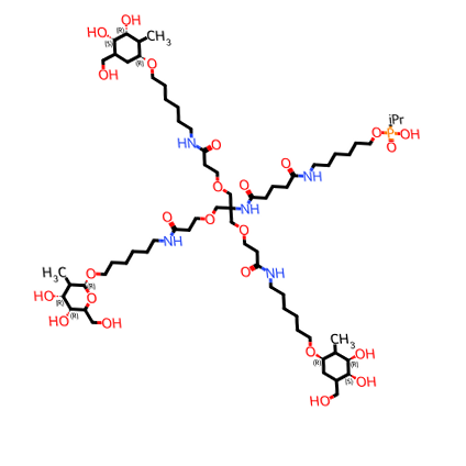 CC1[C@H](OCCCCCCNC(=O)CCOCC(COCCC(=O)NCCCCCCO[C@@H]2CC(CO)[C@H](O)[C@H](O)C2C)(COCCC(=O)NCCCCCCO[C@@H]2CC(CO)[C@H](O)[C@H](O)C2C)NC(=O)CCCC(=O)NCCCCCCOP(=O)(O)C(C)C)OC(CO)[C@H](O)[C@@H]1O